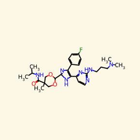 CC(C)NC(=O)C1(C)COC(c2nc(-c3ccc(F)cc3)c(-c3ccnc(NCCCN(C)C)n3)[nH]2)OC1